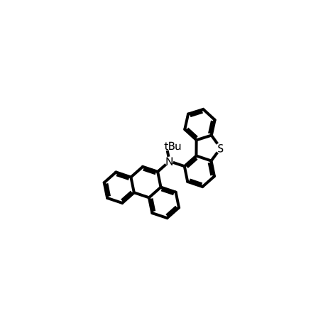 CC(C)(C)N(c1cc2ccccc2c2ccccc12)c1cccc2sc3ccccc3c12